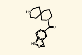 O=C(c1ccc2[nH]ncc2c1)N1CCCC2(CCNCC2)C1